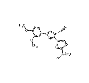 COc1ccc(-n2cc(C#N)c(-c3ccc([N+](=O)[O-])o3)n2)cc1OC